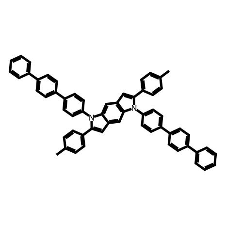 Cc1ccc(-c2cc3cc4c(cc(-c5ccc(C)cc5)n4-c4ccc(-c5ccc(-c6ccccc6)cc5)cc4)cc3n2-c2ccc(-c3ccc(-c4ccccc4)cc3)cc2)cc1